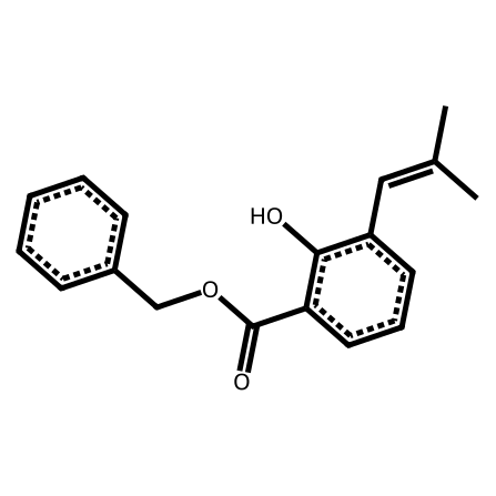 CC(C)=Cc1cccc(C(=O)OCc2ccccc2)c1O